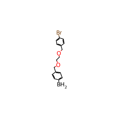 Bc1ccc(COCCOCc2ccc(Br)cc2)cc1